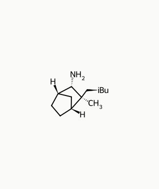 CC[C@H](C)C[C@@]1(C)[C@@H]2CC[C@@H](C2)[C@@H]1N